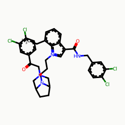 CCc1cccc2c(C(=O)NCc3ccc(Cl)c(Cl)c3)cn(CCCN3C4CCC3CN(CC(=O)c3ccc(Cl)c(Cl)c3)C4)c12